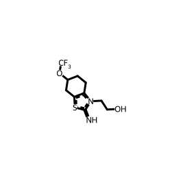 N=c1sc2c(n1CCO)CCC(OC(F)(F)F)C2